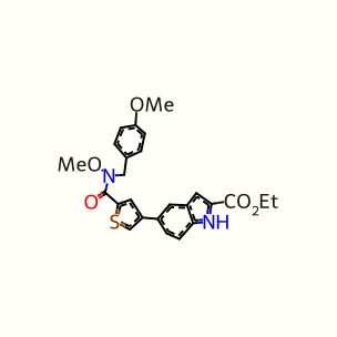 CCOC(=O)c1cc2cc(-c3csc(C(=O)N(Cc4ccc(OC)cc4)OC)c3)ccc2[nH]1